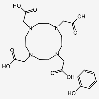 O=C(O)CN1CCN(CC(=O)O)CCN(CC(=O)O)CCN(CC(=O)O)CC1.Oc1ccccc1